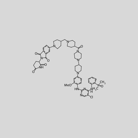 COc1cc(N2CCC(N3CCN(C(=O)C4CCN(CC5CCN(c6ccc7c(c6)C(=O)N(C6CCC(=O)NC6=O)C7=O)CC5)CC4)CC3)CC2)ccc1Nc1ncc(Cl)c(Nc2ccccc2P(C)(C)=O)n1